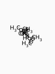 COc1cc2ccn(CC(NS(=O)(=O)c3c(C)cc(C)cc3C)C(F)(F)F)c2cc1OC